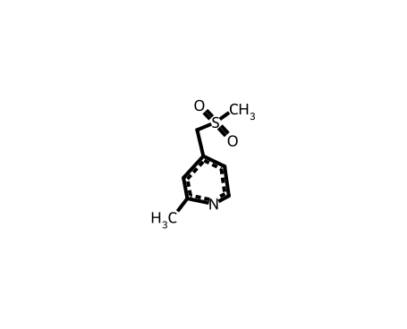 Cc1cc(CS(C)(=O)=O)ccn1